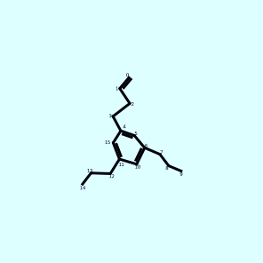 C=CCCc1cc(CCC)cc(CCC)c1